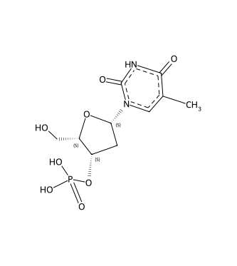 Cc1cn([C@@H]2C[C@H](OP(=O)(O)O)[C@H](CO)O2)c(=O)[nH]c1=O